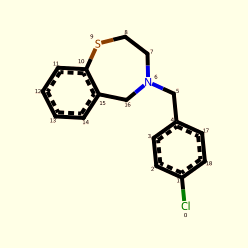 Clc1ccc(CN2CCSc3ccccc3C2)cc1